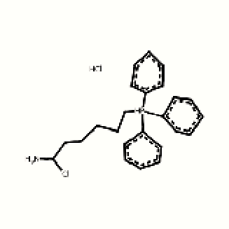 Cl.NC(Cl)CCCCC[PH](c1ccccc1)(c1ccccc1)c1ccccc1